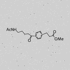 COC(=O)CCc1ccc(C(=O)CCCCNC(C)=O)cc1